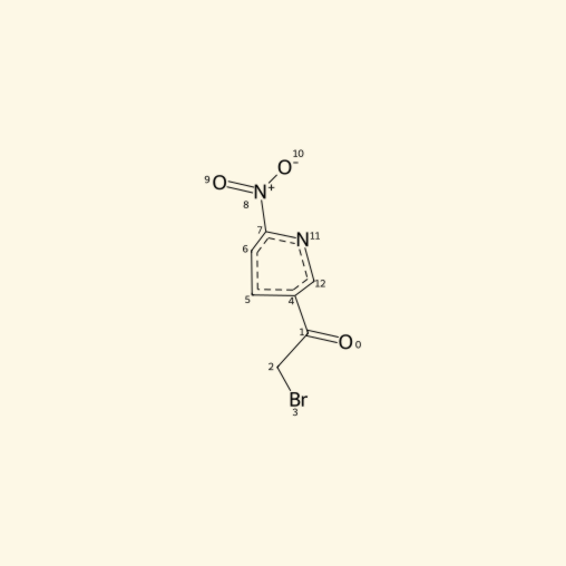 O=C(CBr)c1ccc([N+](=O)[O-])nc1